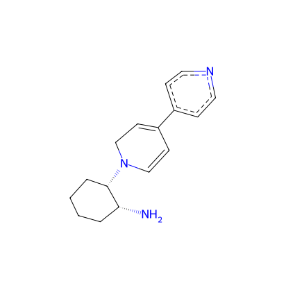 N[C@@H]1CCCC[C@@H]1N1C=CC(c2ccncc2)=CC1